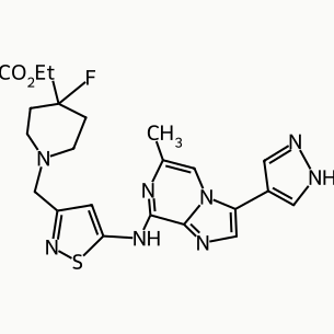 CCOC(=O)C1(F)CCN(Cc2cc(Nc3nc(C)cn4c(-c5cn[nH]c5)cnc34)sn2)CC1